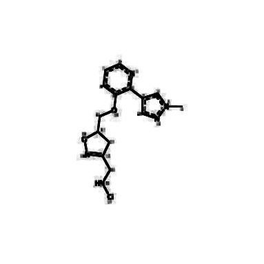 Cn1cc(-c2ncccc2OCC2CC(CNCl)=NO2)cn1